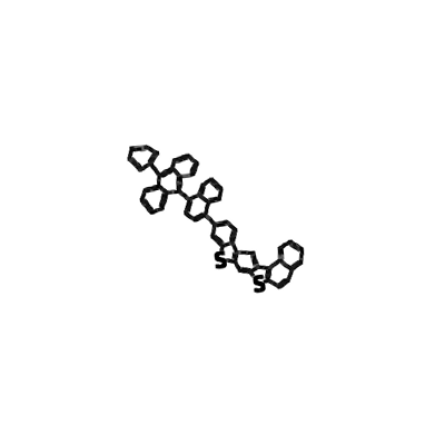 c1ccc(-c2c3ccccc3c(-c3ccc(-c4ccc5c(c4)sc4cc6sc7ccc8ccccc8c7c6cc45)c4ccccc34)c3ccccc23)cc1